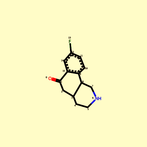 O=C1CC2CCNCC2c2ccc(F)cc21